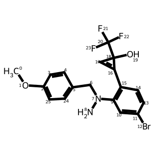 COc1ccc(CN(N)c2cc(Br)ccc2C2=CC2(O)C(F)(F)F)cc1